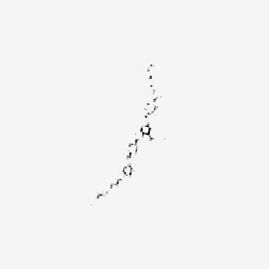 C=CC(=O)OCCCCOC(=O)C1CCC(C(=O)Oc2ccc(OC(=O)C3CCC(C(=O)Oc4ccc(OCCCCOC(=O)C=C)cc4)CC3)c(C(=O)OC)c2)CC1